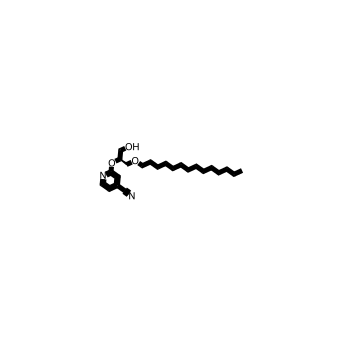 CCCCCCCCCCCCCCOC[C@H](CO)Oc1cc(C#N)ccn1